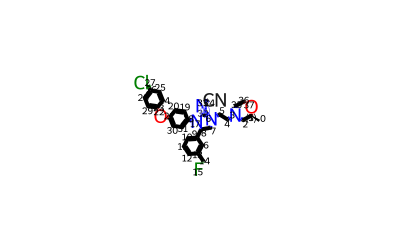 C[C@H]1CN(CCN2CC(c3cccc(CF)c3)N(c3ccc(Oc4ccc(Cl)cc4)cc3)/C2=N/C#N)CCO1